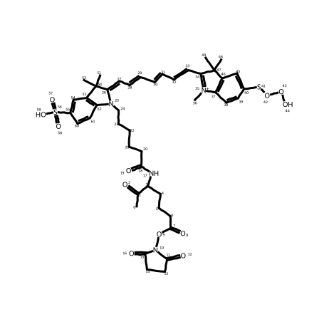 CC(=O)C(CCCC(=O)ON1C(=O)CCC1=O)NC(=O)CCCCCN1\C(=C/C=C/C=C/C=C/C2=[N+](C)c3ccc(SOOO)cc3C2(C)C)C(C)(C)c2cc(S(=O)(=O)O)ccc21